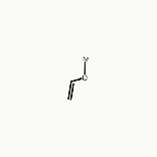 C=CO[N]